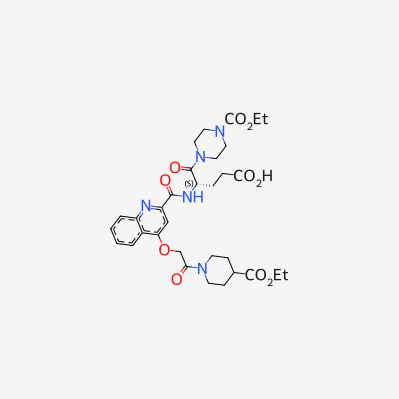 CCOC(=O)C1CCN(C(=O)COc2cc(C(=O)N[C@@H](CCC(=O)O)C(=O)N3CCN(C(=O)OCC)CC3)nc3ccccc23)CC1